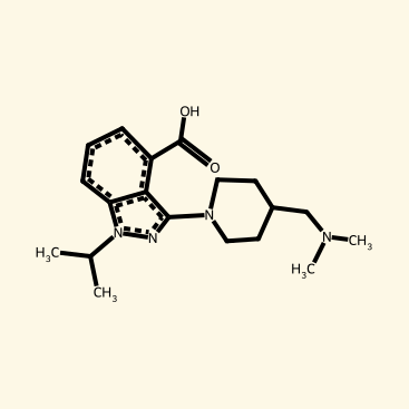 CC(C)n1nc(N2CCC(CN(C)C)CC2)c2c(C(=O)O)cccc21